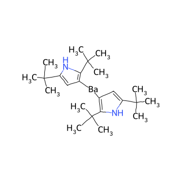 CC(C)(C)c1c[c]([Ba][c]2cc(C(C)(C)C)[nH]c2C(C)(C)C)c(C(C)(C)C)[nH]1